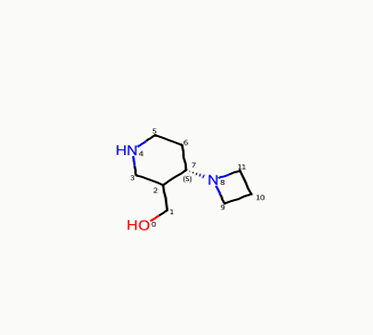 OCC1CNCC[C@@H]1N1CCC1